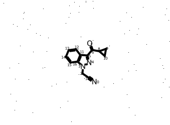 N#CCn1nc(C(=O)C2CC2)c2[c]cccc21